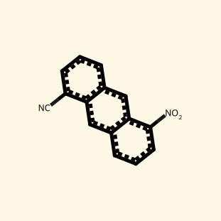 N#Cc1cccc2cc3c([N+](=O)[O-])cccc3cc12